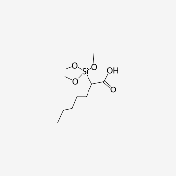 CCCCCC(C(=O)O)[Si](OC)(OC)OC